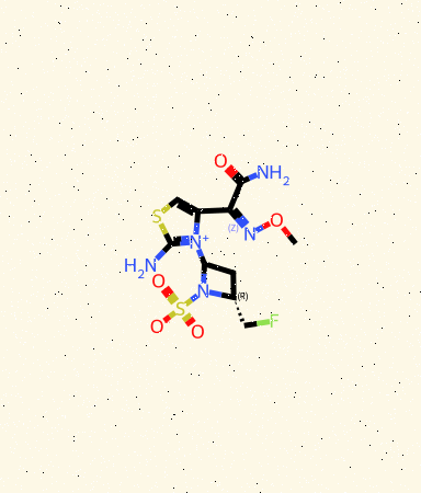 CO/N=C(\C(N)=O)c1csc(N)[n+]1C1C[C@H](CF)N1S(=O)(=O)[O-]